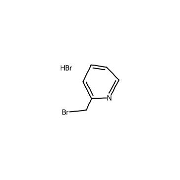 Br.BrCc1ccccn1